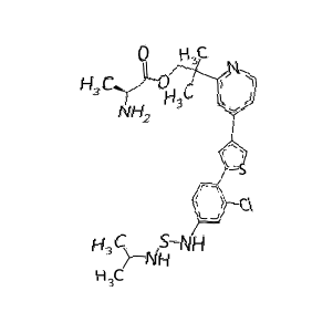 CC(C)NSNc1ccc(-c2cc(-c3ccnc(C(C)(C)COC(=O)[C@H](C)N)c3)cs2)c(Cl)c1